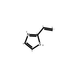 [CH]=Cc1nccs1